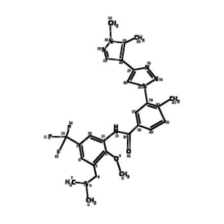 COc1c(CN(C)C)cc(C(F)(F)F)cc1NC(=O)c1ccc(C)c(-n2cc(-c3cnn(C)c3C)nn2)c1